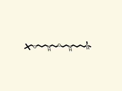 C[SH](C)CCCCNCCOCCNCCCOCC(C)(C)C